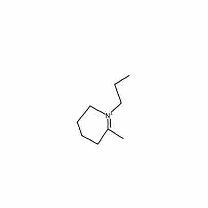 CCC[N+]1=C(C)CCCC1